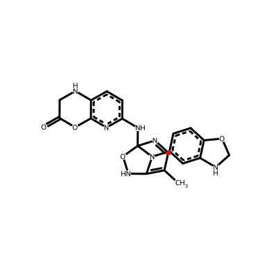 CC1=C2NOC(Nc3ccc4c(n3)OC(=O)CN4)(N=C1)N2c1ccc2c(c1)NCO2